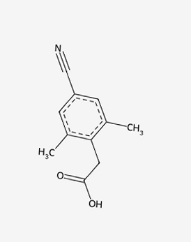 Cc1cc(C#N)cc(C)c1CC(=O)O